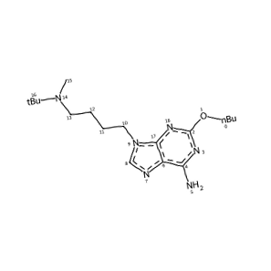 CCCCOc1nc(N)c2ncn(CCCCN(C)C(C)(C)C)c2n1